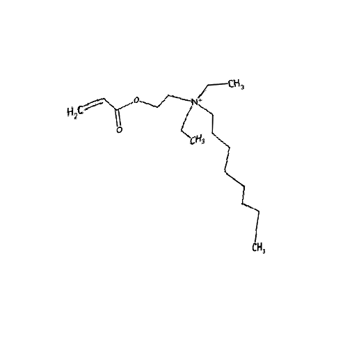 C=CC(=O)OCC[N+](CC)(CC)CCCCCCCC